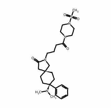 CN(C)[C@]1(c2ccccc2)CC[C@@]2(CC1)CC(=O)N(CCCC(=O)N1CCN(S(C)(=O)=O)CC1)C2